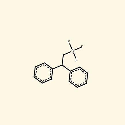 F[Si](F)(F)CC(c1ccccc1)c1ccccc1